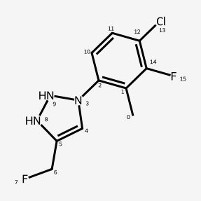 Cc1c(N2C=C(CF)NN2)ccc(Cl)c1F